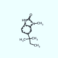 CCC(C)(C)c1ccc2[nH]c(=O)n(C)c2c1